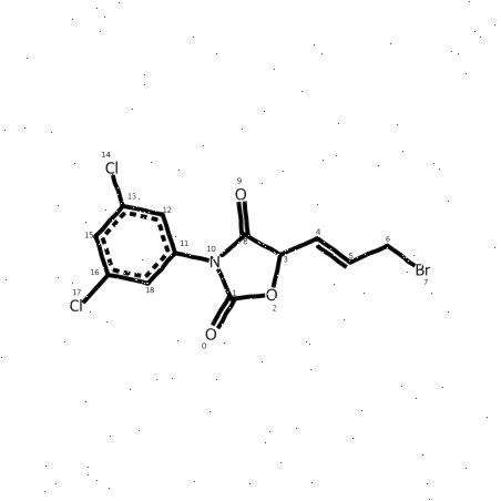 O=C1OC(C=CCBr)C(=O)N1c1cc(Cl)cc(Cl)c1